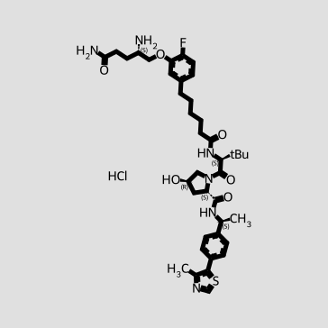 Cc1ncsc1-c1ccc([C@H](C)NC(=O)[C@@H]2C[C@@H](O)CN2C(=O)[C@@H](NC(=O)CCCCCc2ccc(F)c(OC[C@@H](N)CCC(N)=O)c2)C(C)(C)C)cc1.Cl